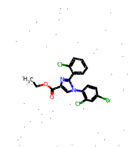 CCOC(=O)c1cn(-c2ccc(Br)cc2Cl)c(-c2ccccc2Cl)n1